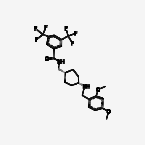 COc1ccc(CN[C@H]2CC[C@@H](CNC(=O)c3cc(C(F)(F)F)cc(C(F)(F)F)c3)CC2)c(OC)c1